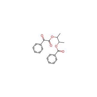 CC(OC(=O)C(=O)c1ccccc1)C(C)OC(=O)c1ccccc1